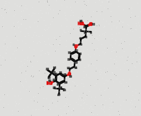 CC(C)(CCCOc1ccc(CCOc2cc(C(C)(C)C)c(O)c(C(C)(C)C)c2)cc1)C(=O)O